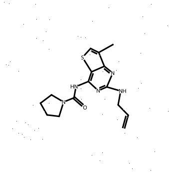 C=CCNc1nc(NC(=O)N2CCCC2)c2scc(C)c2n1